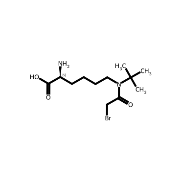 CC(C)(C)N(CCCC[C@H](N)C(=O)O)C(=O)CBr